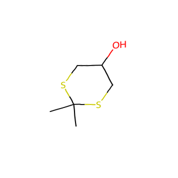 CC1(C)SCC(O)CS1